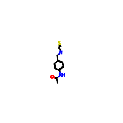 CC(=O)Nc1ccc(CN=C=S)cc1